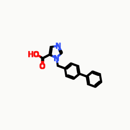 O=C(O)c1cncn1Cc1ccc(-c2ccccc2)cc1